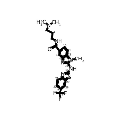 CN(C)CCCNC(=O)c1ccc2c(c1)nc(Nc1nc3ccc(C(F)(F)F)cc3s1)n2C